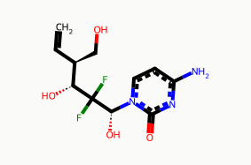 C=C[C@@H](CO)[C@@H](O)C(F)(F)[C@@H](O)n1ccc(N)nc1=O